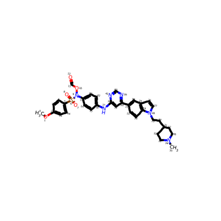 COc1ccc(S(=O)(=O)N(OC=O)c2ccc(Nc3cc(-c4ccc5c(ccn5CCC5CCN(C)CC5)c4)ncn3)cc2)cc1